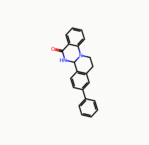 O=C1NC2c3ccc(-c4ccccc4)cc3CCN2c2ccccc21